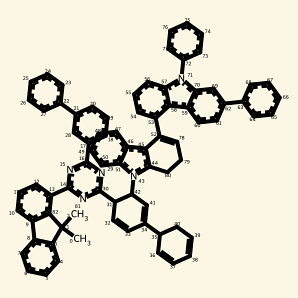 CC1(C)c2ccccc2-c2cccc(-c3nc(-c4cccc(-c5ccccc5)c4)nc(C4C=CC(C5C=CC=CC5)=CC4n4c5c(c6ccccc64)C(c4cccc6c4c4ccc(-c7ccccc7)cc4n6-c4ccccc4)=CCC5)n3)c21